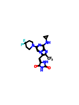 O=C1NC(=O)/C(=C/c2c(C(F)(F)F)nc3c(NC4CC4)nc(N4CCC(F)(F)CC4)cn23)N1